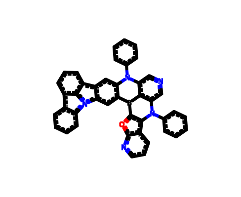 c1ccc(N2c3cc4c5cccc6c7ccccc7n(c4cc3B3c4oc7ncccc7c4N(c4ccccc4)c4cncc2c43)c65)cc1